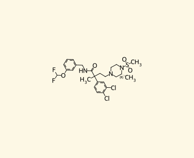 C[C@@H]1CN(CCC(C)(C(=O)NCc2cccc(OC(F)F)c2)c2ccc(Cl)c(Cl)c2)CCN1S(C)(=O)=O